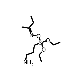 CCO[Si](CCCN)(OCC)ON=C(C)CC